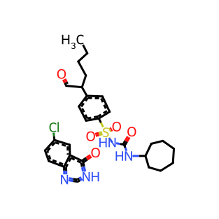 CCCCC(C=O)c1ccc(S(=O)(=O)NC(=O)NC2CCCCCC2)cc1.O=c1[nH]cnc2ccc(Cl)cc12